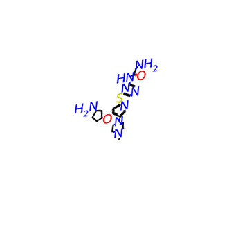 CN1CCN(c2cnc(Sc3cncc(NC(=O)CN)n3)cc2OC2CCC(N)C2)CC1